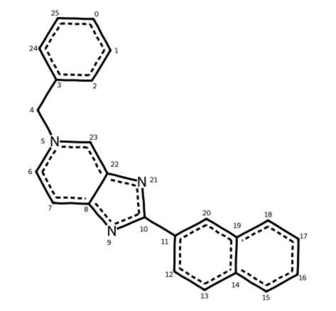 c1ccc(Cn2ccc3nc(-c4ccc5ccccc5c4)nc-3c2)cc1